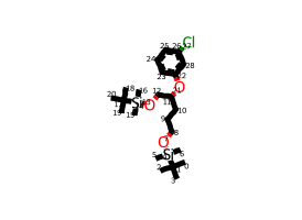 CC(C)(C)[Si](C)(C)OCCCC(CO[Si](C)(C)C(C)(C)C)Oc1cccc(Cl)c1